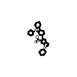 O=[N+]([O-])c1cc2c(ccn2-c2ccccc2)cc1-c1ccc2c3ccccc3n(-c3ccccc3)c2c1